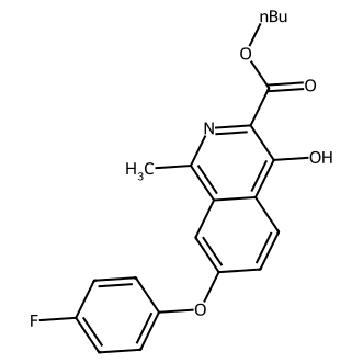 CCCCOC(=O)c1nc(C)c2cc(Oc3ccc(F)cc3)ccc2c1O